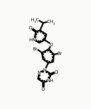 CC(C)c1cc(Oc2c(Br)cc(-n3ncc(=O)[nH]c3=O)cc2Br)c[nH]c1=O